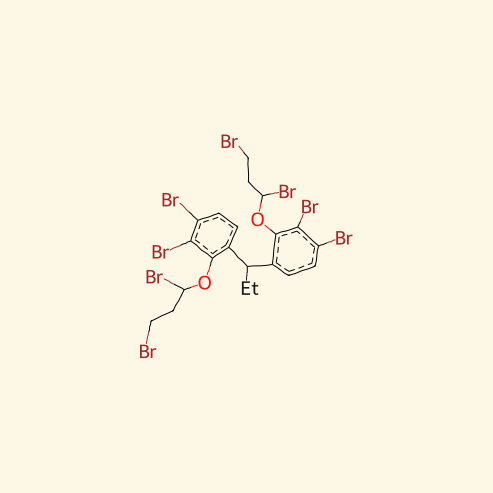 CCC(c1ccc(Br)c(Br)c1OC(Br)CCBr)c1ccc(Br)c(Br)c1OC(Br)CCBr